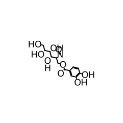 O=NC(COC(=O)c1ccc(O)c(O)c1)C(O)C(O)C(O)CO